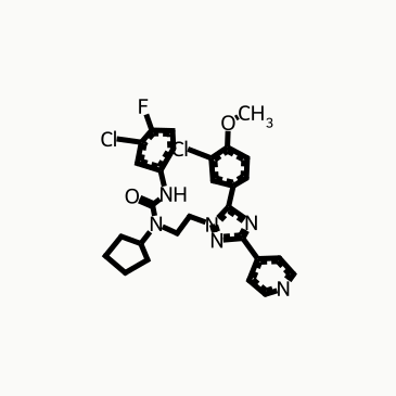 COc1ccc(-c2nc(-c3ccncc3)nn2CCN(C(=O)Nc2ccc(F)c(Cl)c2)C2CCCC2)cc1Cl